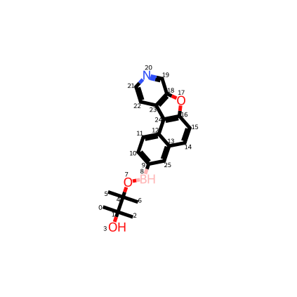 CC(C)(O)C(C)(C)OBc1ccc2c(ccc3oc4cnccc4c32)c1